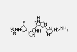 CS(=O)(=O)NCc1cc(F)cc(-c2ccnc3[nH]c(-c4n[nH]c5cnc(-c6cncc(N7CC(N)C7)n6)cc45)cc23)c1